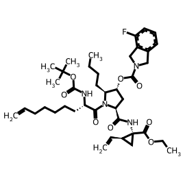 C=CCCCCC[C@H](NC(=O)OC(C)(C)C)C(=O)N1[C@H](C(=O)N[C@]2(C(=O)OCC)C[C@H]2C=C)C[C@@H](OC(=O)N2Cc3cccc(F)c3C2)[C@@H]1CCCC